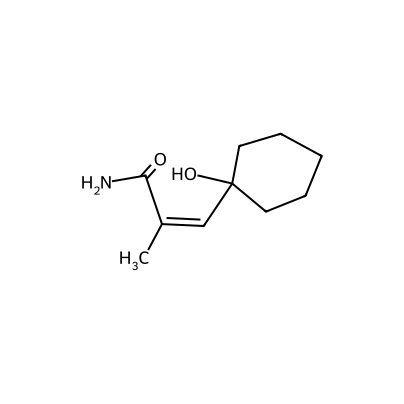 CC(=CC1(O)CCCCC1)C(N)=O